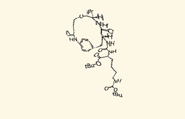 CC(C)[C@H]1COCCC(=O)Nc2ccc(cc2)C[C@@H](NC(=O)NC(CCCCNC(=O)OC(C)(C)C)C(=O)OC(C)(C)C)C(=O)N1